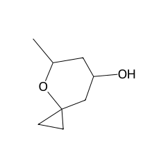 CC1CC(O)CC2(CC2)O1